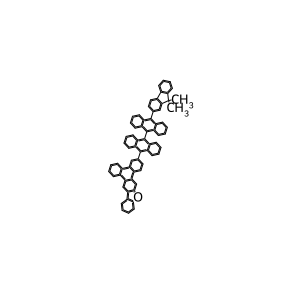 CC1(C)c2ccccc2-c2ccc(-c3c4ccccc4c(-c4c5ccccc5c(-c5ccc6c(c5)c5ccccc5c5cc7c(cc65)oc5ccccc57)c5ccccc45)c4ccccc34)cc21